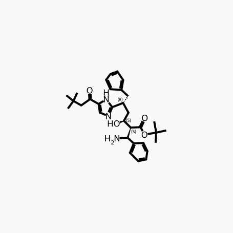 CC(C)(C)CC(=O)c1cnc([C@H](Cc2ccccc2)C[C@H](O)[C@@H](C(=O)OC(C)(C)C)C(N)c2ccccc2)[nH]1